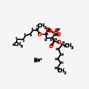 CCCCCCC(C)OC(=O)CC(C(=O)OC(C)CCCCCC)S(=O)(=O)[O-].[Na+]